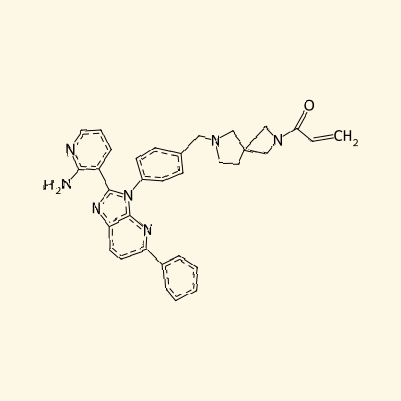 C=CC(=O)N1CC2(CCN(Cc3ccc(-n4c(-c5cccnc5N)nc5ccc(-c6ccccc6)nc54)cc3)C2)C1